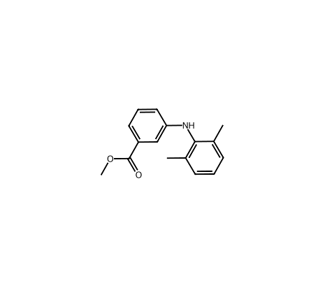 COC(=O)c1cccc(Nc2c(C)cccc2C)c1